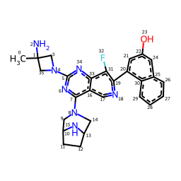 CC1(N)CN(c2nc(N3CC4CCC(C3)N4)c3cnc(-c4cc(O)cc5ccccc45)c(F)c3n2)C1